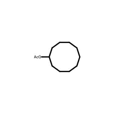 CC(=O)OC1CCCCCCCCC1